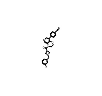 N#Cc1ccc(-c2cncc3c2OCCN3C(=O)C2CN(Cc3cccc(F)c3)C2)cc1